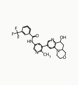 Cc1ncc(NC(=O)C2=C=C=CC(C(F)(F)F)=C2)cc1-c1cnc2c(c1)N1CCOCC1CC2O